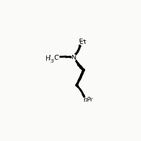 [CH2]CCCCN(C)CC